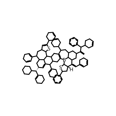 C=C(C1CC2CC(C3CC=CCC3)C3=C(CC4C(C5=CCCCC5)C5=CC([C@H](C6=CCCCC6)C6CCCCC6)CC6C(C7=CCCC=C7)CC7C=C(C8CC=CCC8)SC7C(C4C3)C56)B3C2C(C1)/C(=C\C1=CC=CCC1)[C@@H]1CC(c2ccccc2)SC31)C(c1ccccc1)C1CC=CCC1